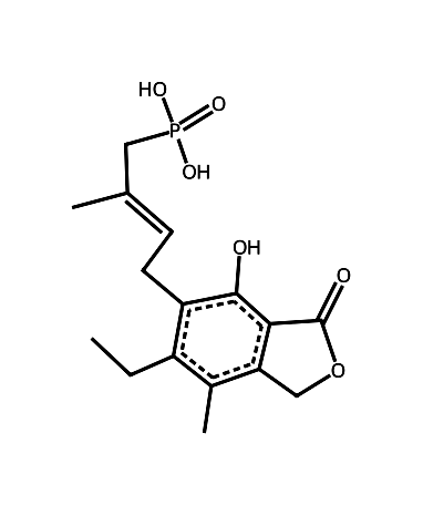 CCc1c(C)c2c(c(O)c1C/C=C(\C)CP(=O)(O)O)C(=O)OC2